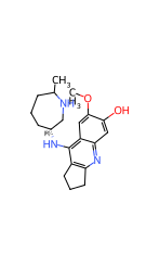 COc1cc2c(N[C@@H]3CCCC(C)NC3)c3c(nc2cc1O)CCC3